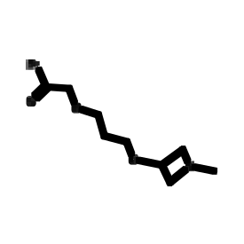 CC(C)C(=O)COCCCOC1CN(C)C1